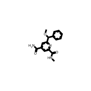 CNC(=O)c1cc(C(N)=O)cc(C(OC)c2ccccc2)n1